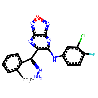 CCOC(=O)c1ccccc1C(=NN)c1nc2nonc2nc1Nc1ccc(F)c(Cl)c1